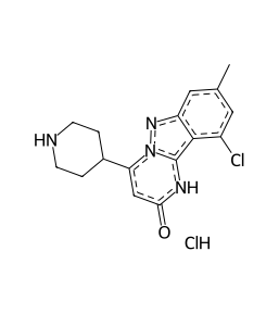 Cc1cc(Cl)c2c(c1)nn1c(C3CCNCC3)cc(=O)[nH]c21.Cl